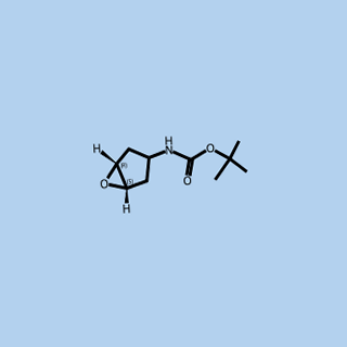 CC(C)(C)OC(=O)NC1C[C@@H]2O[C@@H]2C1